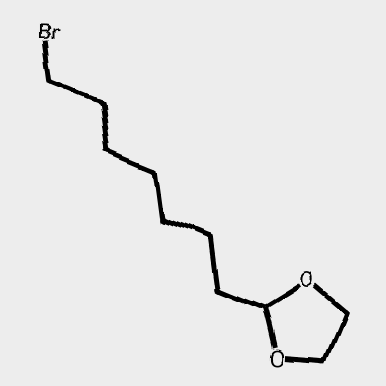 BrCCCCCCCC1OCCO1